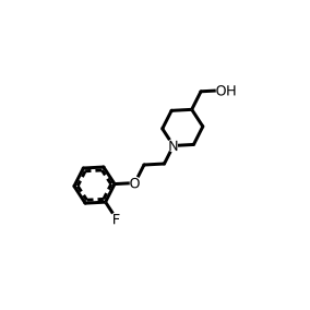 OCC1CCN(CCOc2ccccc2F)CC1